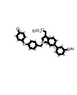 CCOC(=O)Cc1cn(Cc2ccc(Oc3ccc(Cl)cc3)cc2)c2cc(-c3cccc(OC(C)=O)c3)ccc12